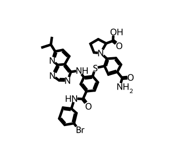 CC(C)c1ccc2c(Nc3cc(C(=O)Nc4cccc(Br)c4)ccc3Sc3cc(C(N)=O)ccc3N3CCCC3C(=O)O)ncnc2n1